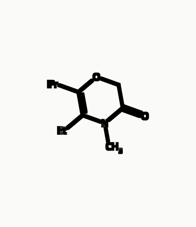 CCC1=C(C(C)C)OCC(=O)N1C